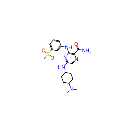 CN(C)[C@H]1CC[C@H](Nc2cnc(C(N)=O)c(Nc3cccc(S(C)(=O)=O)c3)n2)CC1